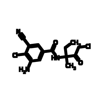 CCC(C)(NC(=O)c1cc(N)c(Cl)c(C#N)c1)C(=O)CCl